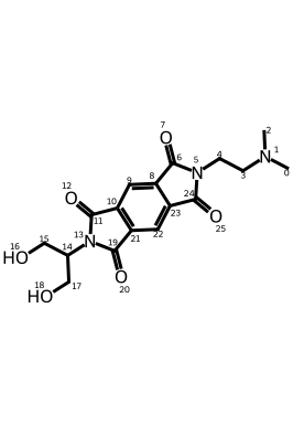 CN(C)CCn1c(=O)c2cc3c(=O)n(C(CO)CO)c(=O)c3cc2c1=O